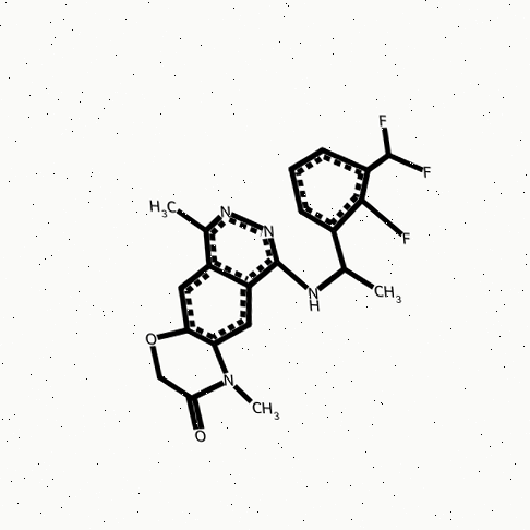 Cc1nnc(NC(C)c2cccc(C(F)F)c2F)c2cc3c(cc12)OCC(=O)N3C